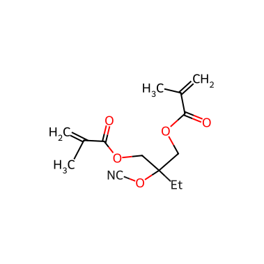 C=C(C)C(=O)OCC(CC)(COC(=O)C(=C)C)OC#N